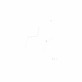 CCC(CO)C(=O)ON